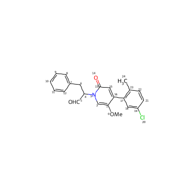 COc1cn(C(C=O)Cc2ccccc2)c(=O)cc1-c1cc(Cl)ccc1C